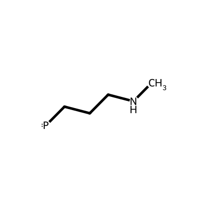 CNCCC[P]